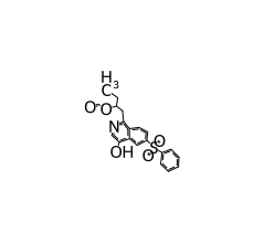 CCC(Cc1ncc(O)c2cc(S(=O)(=O)c3ccccc3)ccc12)OC=O